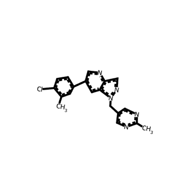 Cc1ncc(Cn2ncc3ncc(-c4ccc(Cl)c(C)c4)cc32)cn1